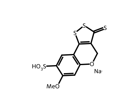 COc1cc2c(cc1S(=O)(=O)O)-c1ssc(=S)c1CO2.[Na]